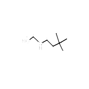 CC(C)(C)CCNCO